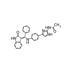 CC(=O)Nc1nc(-c2ccc(NC(=C3C(=O)Nc4ccccc43)c3ccccc3)cc2)c[nH]1